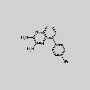 CC(C)c1ccc(-c2cccc3nc(N)c(N)nc23)cc1